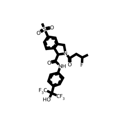 CC(F)CC(=O)N1Cc2cc(S(C)(=O)=O)ccc2C1C(=O)Nc1ccc(C(O)(C(F)(F)F)C(F)(F)F)cc1